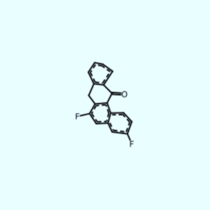 O=C1c2ccccc2Cc2c(F)cc3cc(F)ccc3c21